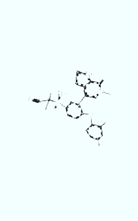 Cn1cc(-c2cc(S(=N)(=O)C(C)(C)C#N)ccc2Oc2ccc(F)cc2F)c2cc[nH]c2c1=O